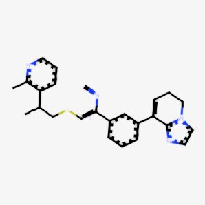 C=N/C(=C\SCC(C)c1cccnc1C)c1cccc(C2=CCCn3ccnc32)c1